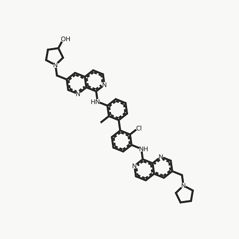 Cc1c(Nc2nccc3cc(CN4CCC(O)C4)cnc23)cccc1-c1cccc(Nc2nccc3cc(CN4CCCC4)cnc23)c1Cl